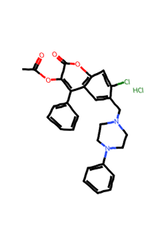 CC(=O)Oc1c(-c2ccccc2)c2cc(CN3CCN(c4ccccc4)CC3)c(Cl)cc2oc1=O.Cl